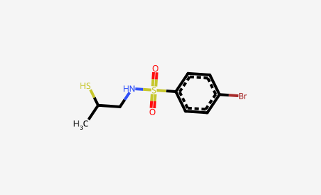 CC(S)CNS(=O)(=O)c1ccc(Br)cc1